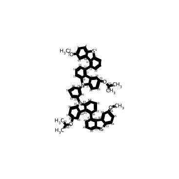 COc1ccc2sc3cccc(-c4cccc5c4c4cc(OC(C)C)ccc4n5-c4cccc(-n5c6ccc(OC(C)C)cc6c6c(-c7cccc8sc9ccc(OC)cc9c78)cccc65)c4)c3c2c1